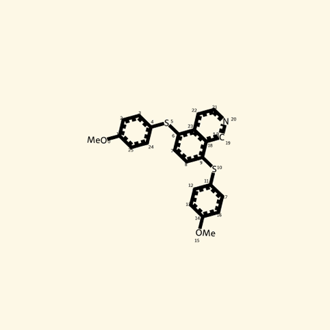 COc1ccc(Sc2ccc(Sc3ccc(OC)cc3)c3[13cH]nccc23)cc1